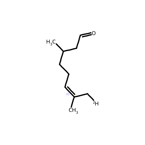 [2H]C/C(C)=C\CCC(C)CC=O